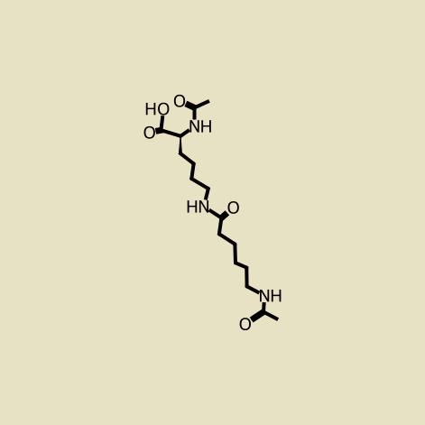 CC(=O)NCCCCCC(=O)NCCCC[C@H](NC(C)=O)C(=O)O